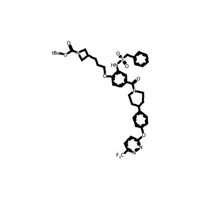 CC(C)(C)OC(=O)N1CC(CCCOc2ccc(C(=O)N3CCC(c4ccc(Oc5ccc(C(F)(F)F)nn5)cc4)CC3)cc2NS(=O)(=O)Cc2ccccc2)C1